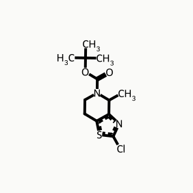 CC1c2nc(Cl)sc2CCN1C(=O)OC(C)(C)C